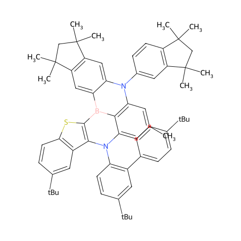 Cc1cc2c3c(c1)N(c1ccc(C(C)(C)C)cc1-c1ccc(C(C)(C)C)cc1)c1c(sc4ccc(C(C)(C)C)cc14)B3c1cc3c(cc1N2c1ccc2c(c1)C(C)(C)CC2(C)C)C(C)(C)CC3(C)C